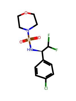 O=S(=O)(N[C@H](c1ccc(Cl)cc1)C(F)F)N1CCOCC1